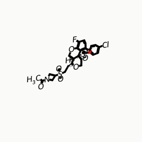 CC(=O)N1CC(S(=O)(=O)CC[C@@H]2OCC[C@@]3(S(=O)(=O)c4ccc(Cl)cc4)c4c(F)ccc(F)c4OC[C@@H]23)C1